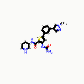 Cn1cc(-c2cccc(-c3cc(NC(N)=O)c(C(=O)N[C@H]4CCCNC4)s3)c2)cn1